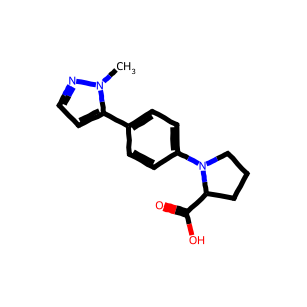 Cn1nccc1-c1ccc(N2CCCC2C(=O)O)cc1